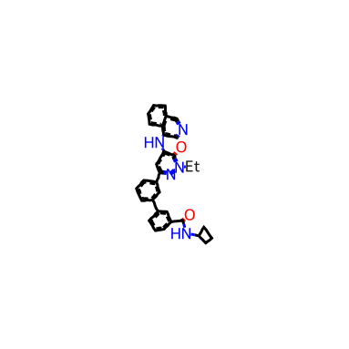 CCn1nc(-c2cccc(-c3cccc(C(=O)NC4CCC4)c3)c2)cc(Nc2cncc3ccccc23)c1=O